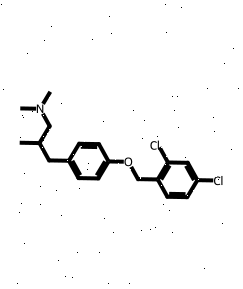 CC(Cc1ccc(OCc2ccc(Cl)cc2Cl)cc1)CN(C)C